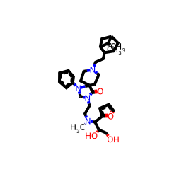 CN(CCN1CN(c2ccccc2)C2(CCN(CCC3CCC4CC3C4(C)C)CC2)C1=O)C(c1ccco1)C(O)CO